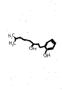 CC(C)[CH]CCC(O)CCc1ccccc1O